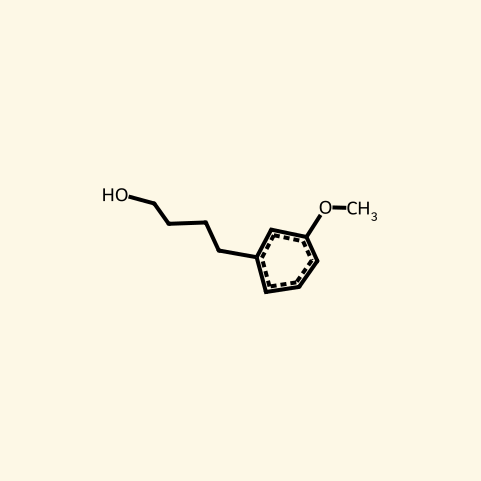 COc1cccc(CCCCO)c1